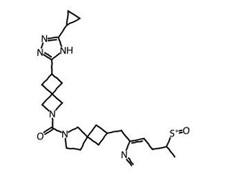 C=N/C(=C\CC(C)[S+]=O)CC1CC2(CCN(C(=O)N3CC4(CC(c5nnc(C6CC6)[nH]5)C4)C3)C2)C1